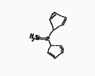 [SiH2]=[Zr]([CH]1C=CC=C1)[CH]1C=CC=C1